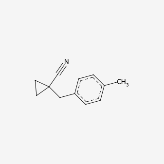 Cc1ccc(CC2(C#N)CC2)cc1